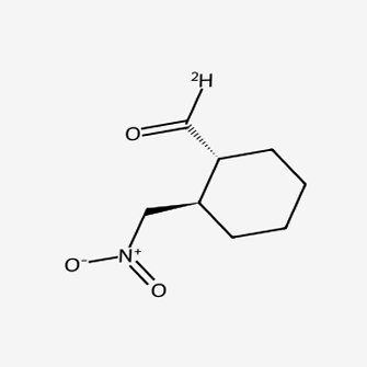 [2H]C(=O)[C@@H]1CCCC[C@H]1C[N+](=O)[O-]